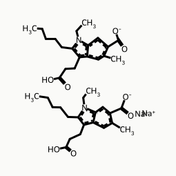 CCCCCc1c(CCC(=O)O)c2cc(C)c(C(=O)[O-])cc2n1CC.CCCCCc1c(CCC(=O)O)c2cc(C)c(C(=O)[O-])cc2n1CC.[Na+].[Na+]